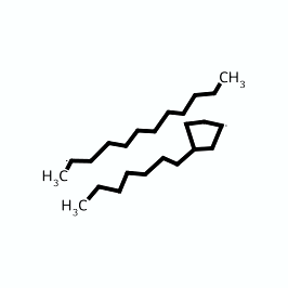 CCCCCCCC1C[CH]CC1.C[CH]CCCCCCCCCC